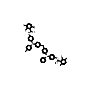 Cc1ccc([S+](c2ccc(Cc3ccc([S+](c4ccccc4)c4ccc(OC(=O)c5c(I)ccc(I)c5I)cc4)cc3)cc2)c2ccc(OC(=O)c3c(I)ccc(I)c3I)cc2)cc1